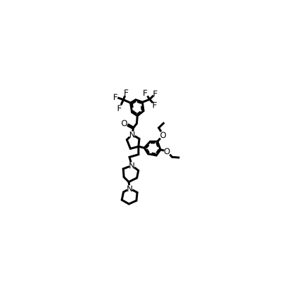 CCOc1ccc(C2(CCN3CCC(N4CCCCC4)CC3)CCN(C(=O)Cc3cc(C(F)(F)F)cc(C(F)(F)F)c3)C2)cc1OCC